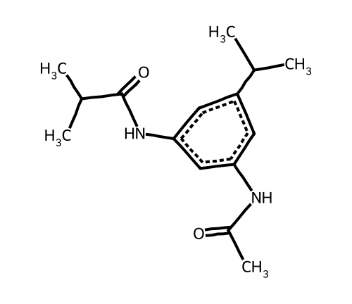 CC(=O)Nc1cc(NC(=O)C(C)C)cc(C(C)C)c1